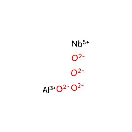 [Al+3].[Nb+5].[O-2].[O-2].[O-2].[O-2]